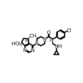 C[C@@H]1C[C@@H](O)c2ncnc(N3CCN(C(=O)[C@H](CNC4CC4)c4ccc(Cl)cc4)CC3)c21